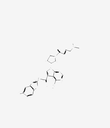 CCN(C)C/C=C/C(=O)N1CC[C@@H](n2cc(C(=O)Nc3nc4cc(Cl)ccc4o3)c3c(N)ncnc32)C1